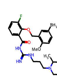 Bc1ccc(OC)c(COc2c(F)cccc2C(=O)NC(=N)NCCCN2CCCCC2C)c1